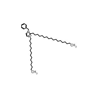 CCCCCCCCCCCCCCCCCCc1n(Cc2ccccc2)cc[n+]1CCCCCCCCCCCCCCC